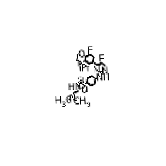 CC(C)N1CCOc2c(F)cc(-c3nc(Nc4ccc(S(=O)(=O)NCCN(C)C)cc4)ncc3F)cc21